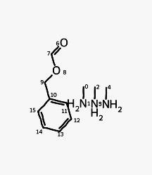 CN.CN.CN.O=COCc1ccccc1